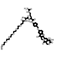 CCc1c2c(nc3ccc(OCc4ccc(NC(=O)C(CCCNC(N)=O)NC(=O)C(NC(=O)CCOCCOCCOCCOCCOCCN=[N+]=[N-])C(C)C)cc4)cc13)-c1cc3c(c(=O)n1C2)COC(=O)[C@]3(O)CC